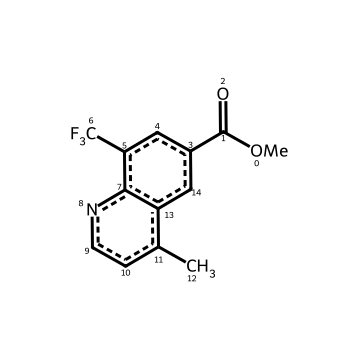 COC(=O)c1cc(C(F)(F)F)c2nccc(C)c2c1